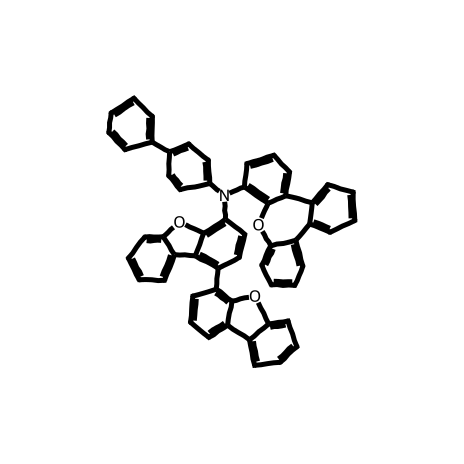 c1ccc(-c2ccc(N(c3cccc4c3Oc3ccccc3-c3ccccc3-4)c3ccc(-c4cccc5c4oc4ccccc45)c4c3oc3ccccc34)cc2)cc1